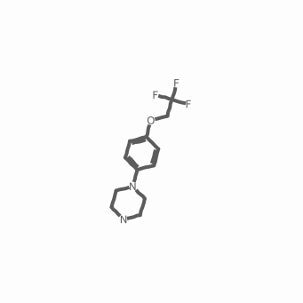 FC(F)(F)COc1ccc(N2CC[N]CC2)cc1